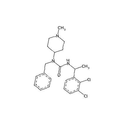 CC(NC(=O)N(Cc1ccccc1)C1CCN(C)CC1)c1cccc(Cl)c1Cl